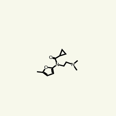 Cc1ccc(N(CCN(C)C)C(=O)C2CC2)o1